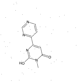 Cn1c(O)nc(-c2ccncn2)cc1=O